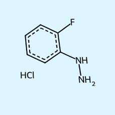 Cl.NNc1ccccc1F